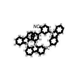 N#Cc1ccc2c3ccccc3n(-c3ccc(C#N)c(-c4cccc(-n5c6ccccc6c6cccc(-n7c8ccccc8c8ccccc87)c65)c4)c3)c2c1